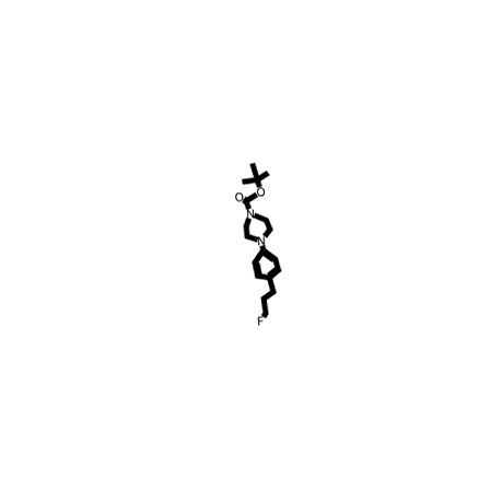 CC(C)(C)OC(=O)N1CCN(c2ccc(CCCF)cc2)CC1